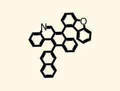 c1ccc2cc(-c3c4ccccc4c(-c4cccc5oc6ccccc6c45)c4cnc5ccccc5c34)ccc2c1